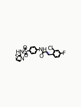 O=C(/C=C/c1ccc(F)cc1Cl)Nc1ccc(S(=O)(=O)Nc2nccs2)cc1